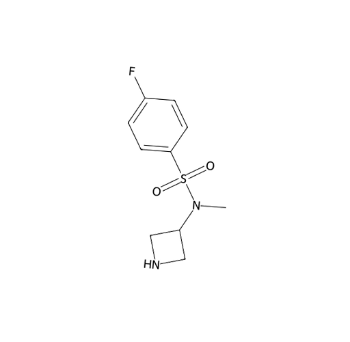 CN(C1CNC1)S(=O)(=O)c1ccc(F)cc1